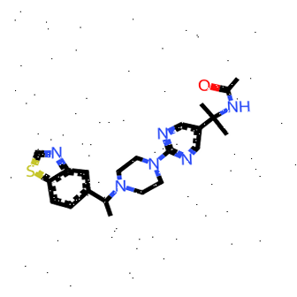 CC(=O)NC(C)(C)c1cnc(N2CCN(C(C)c3ccc4scnc4c3)CC2)nc1